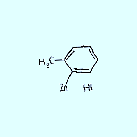 Cc1cccc[c]1[Zn].I